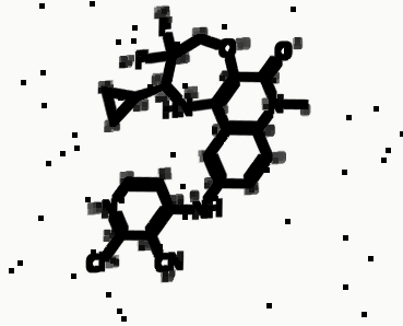 Cn1c(=O)c2c(c3cc(Nc4ccnc(Cl)c4C#N)ccc31)N[C@@H](C1CC1)C(F)(F)CO2